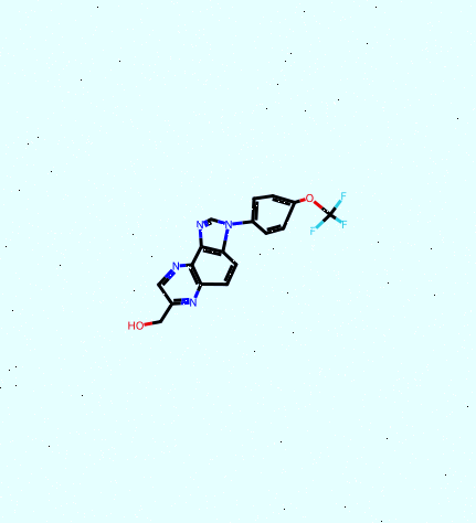 OCc1cnc2c(ccc3c2ncn3-c2ccc(OC(F)(F)F)cc2)n1